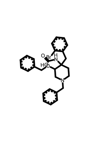 O=C(O)NC1(Cc2ccccc2Br)CCN(Cc2ccccc2)CC1OCc1ccccc1